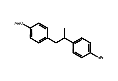 CCCc1ccc(C(C)Cc2ccc(OC)cc2)cc1